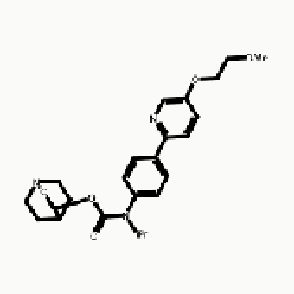 COCCOc1ccc(-c2ccc(N(C(=O)OC3CN4CCC3CC4)C(C)C)cc2)nc1